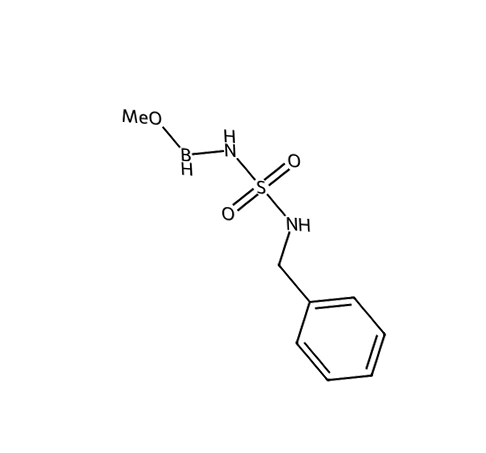 COBNS(=O)(=O)NCc1ccccc1